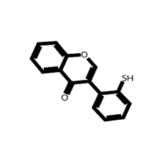 O=c1c(-c2ccccc2S)coc2ccccc12